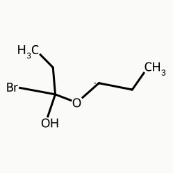 CC[CH]OC(O)(Br)CC